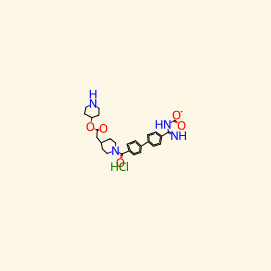 COC(=O)NC(=N)c1ccc(-c2ccc(C(=O)N3CCC(CC(=O)OC4CCNCC4)CC3)cc2)cc1.Cl